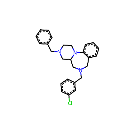 Clc1cccc(CN2Cc3ccccc3N3CCN(Cc4ccccc4)CC3C2)c1